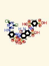 Nc1c(/N=N/c2cc(S(=O)(=O)O)ccc2S(=O)(=O)O)c(S(=O)(=O)O)cc2c1C(=O)/C(=N\Nc1cc(Nc3nc(Cl)nc(Cl)n3)ccc1S(=O)(=O)O)C(S(=O)(=O)O)=C2